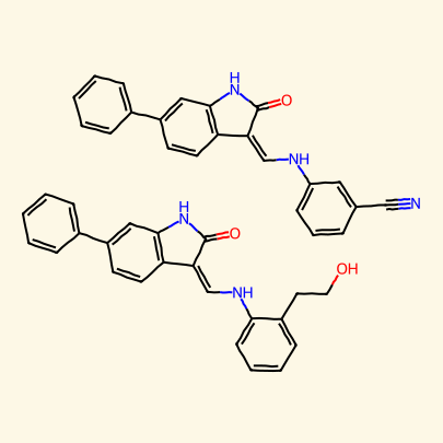 N#Cc1cccc(NC=C2C(=O)Nc3cc(-c4ccccc4)ccc32)c1.O=C1Nc2cc(-c3ccccc3)ccc2C1=CNc1ccccc1CCO